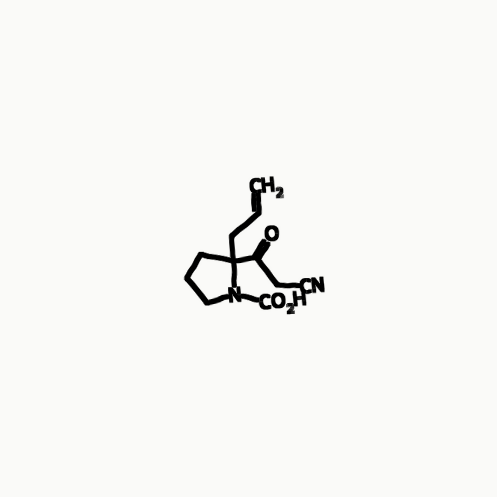 C=CCC1(C(=O)CC#N)CCCN1C(=O)O